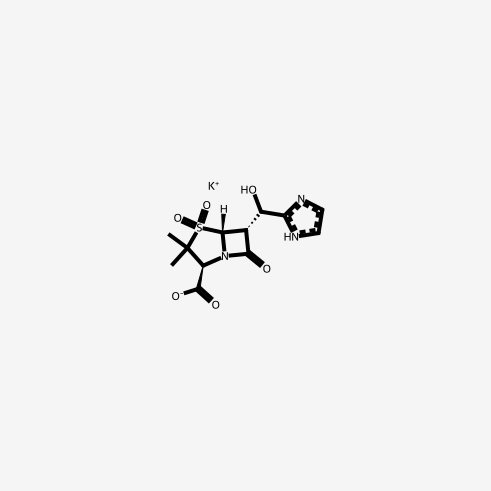 CC1(C)[C@H](C(=O)[O-])N2C(=O)[C@@H](C(O)c3ncc[nH]3)[C@H]2S1(=O)=O.[K+]